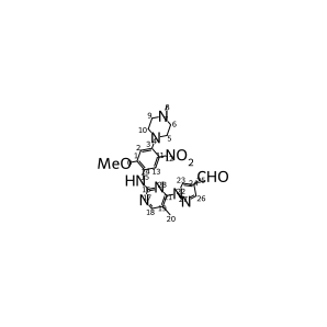 COc1cc(N2CCN(C)CC2)c([N+](=O)[O-])cc1Nc1ncc(C)c(-n2cc(C=O)cn2)n1